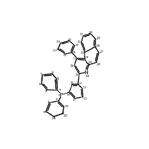 C1=CC(P(c2ccccc2)c2cccc(-c3cc(-c4ccccc4)c4c(ccc5ccccc54)n3)c2)=CCC1